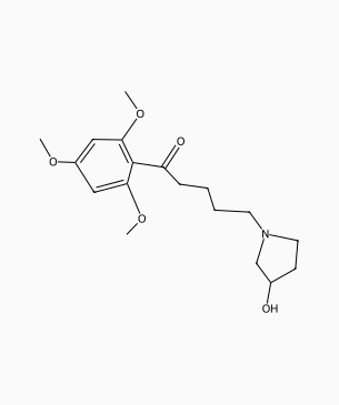 COc1cc(OC)c(C(=O)CCCCN2CCC(O)C2)c(OC)c1